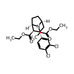 CCOC(=O)C(C)N1[C@H]2CC[C@@H]1[C@H](C(=O)OCC)[C@@H](c1ccc(Cl)c(Cl)c1)C2